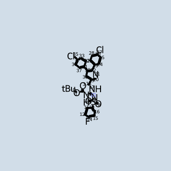 CC(C)(C)OC(=O)N/C(=N\S(=O)(=O)c1ccc(F)cc1)NCc1cnc(-c2ccc(Cl)cc2)c(-c2ccc(Cl)cc2)c1